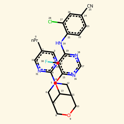 CCCc1cnc(N2CC3COCC(C2)C3Oc2ncnc(Nc3ccc(C#N)cc3Cl)c2F)nc1